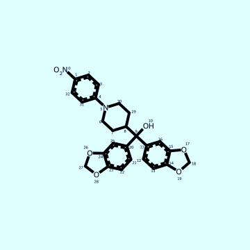 O=[N+]([O-])c1ccc(N2CCC(C(O)(c3ccc4c(c3)OCO4)c3ccc4c(c3)OCO4)CC2)cc1